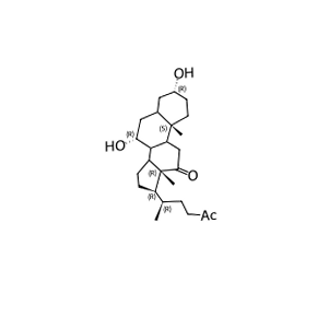 CC(=O)CC[C@@H](C)[C@H]1CCC2C3C(CC(=O)[C@@]21C)[C@@]1(C)CC[C@@H](O)CC1C[C@H]3O